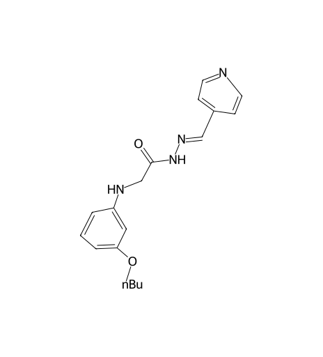 CCCCOc1cccc(NCC(=O)N/N=C/c2ccncc2)c1